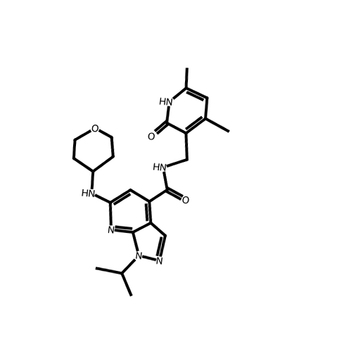 Cc1cc(C)c(CNC(=O)c2cc(NC3CCOCC3)nc3c2cnn3C(C)C)c(=O)[nH]1